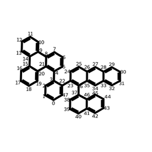 c1ccc(-c2cccc3c4ccccc4c4ccccc4c23)c(-c2ccc3cc4ccccc4cc3c2-c2cccc3ccccc23)c1